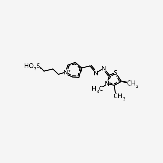 Cc1sc(=NN=Cc2cc[n+](CCCS(=O)(=O)O)cc2)n(C)c1C